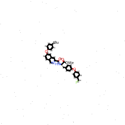 COC(=O)[C@H](Cc1ccc(Oc2ccc(CF)cc2)cc1)NC(=O)c1cc2cc(Oc3ccc(C(C)(C)C)cc3)ccc2cn1